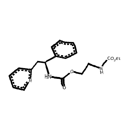 CCOC(=O)NCCOC(=O)NC(Cc1ccccn1)c1ccccc1